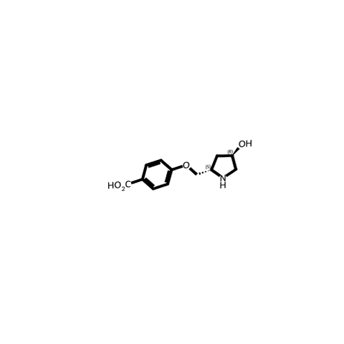 O=C(O)c1ccc(OC[C@@H]2C[C@@H](O)CN2)cc1